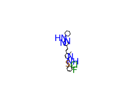 Cc1nc(NSc2cccc(F)c2Cl)ccc1/C=C/c1cnc(NC2CCCCC2)nc1